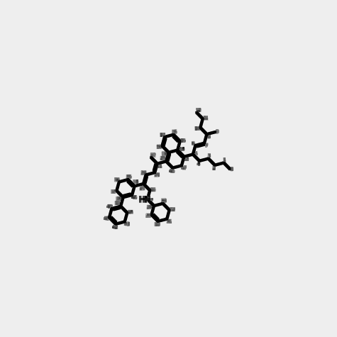 CCCCCC(/C=C/C(C)CCC)C1=c2ccccc2=C(/C(C)=C/C=C(\CNC2C=CCCC2)C2=CCCC(C3=CC=CCC3)=C2)CC1